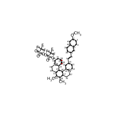 COc1ccc2cc(/C=C/c3cc[n+]4c(c3)-c3c(c(C)c(C)c5c3-c3c6ccccc6cc[n+]3CC5)CC4)ccc2c1.O=S(=O)([O-])C(F)(F)F.O=S(=O)([O-])C(F)(F)F